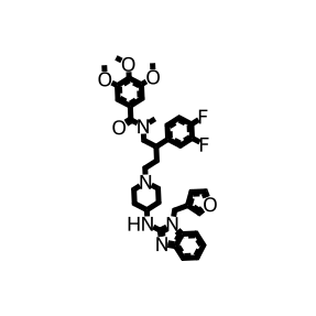 COc1cc(C(=O)N(C)CC(CCN2CCC(Nc3nc4ccccc4n3Cc3ccoc3)CC2)c2ccc(F)c(F)c2)cc(OC)c1OC